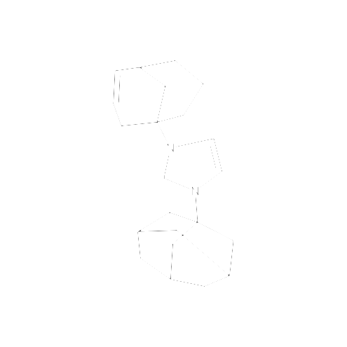 C1=CC2CCCC(N3C=CN(C45CC6CC(CC(C6)C4)C5)C3)(C1)C2